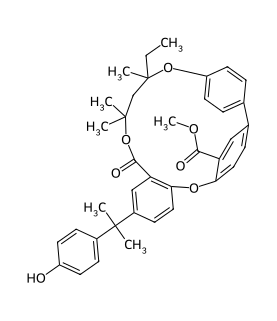 CCC1(C)CC(C)(C)OC(=O)c2cc(C(C)(C)c3ccc(O)cc3)ccc2Oc2ccc(cc2C(=O)OC)-c2ccc(cc2)O1